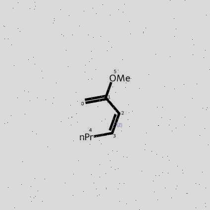 C=C(/C=C\CCC)OC